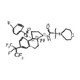 CC(C)(C(=O)N[C@H]1CC[C@]2(S(=O)(=O)c3ccc(F)cc3)c3ccc(C(F)(C(F)(F)F)C(F)(F)F)cc3CC[C@H]12)N1CCOCC1